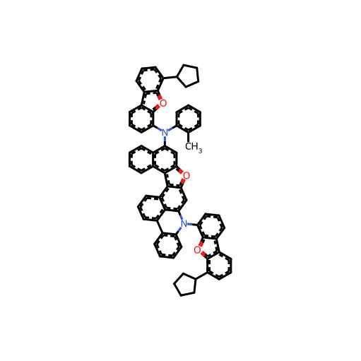 Cc1ccccc1N(c1cc2oc3cc4c5c(cccc5c3c2c2ccccc12)-c1ccccc1N4c1cccc2c1oc1c(C3CCCC3)cccc12)c1cccc2c1oc1c(C3CCCC3)cccc12